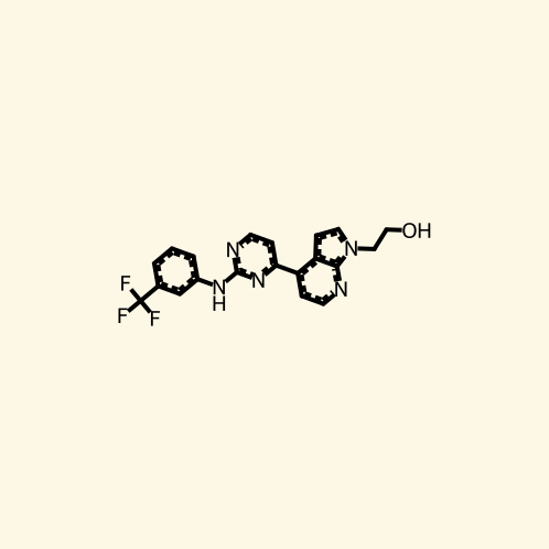 OCCn1ccc2c(-c3ccnc(Nc4cccc(C(F)(F)F)c4)n3)ccnc21